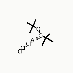 CC(C)(C)OOC(C)(C)C.[Al+3].[Cl-].[Cl-].[Cl-]